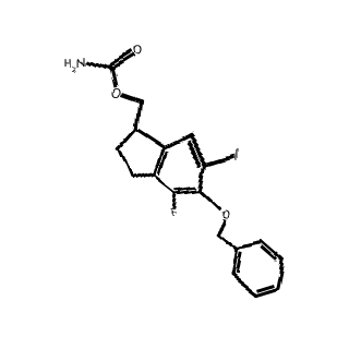 NC(=O)OCC1CCc2c1cc(I)c(OCc1ccccc1)c2F